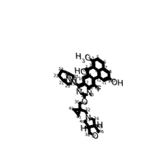 C#Cc1c(C)ccc2cc(O)cc(-c3c(F)cc4c(N5CC6CCC(C5)N6)nc(OCC5(CN6C[C@H]7COC[C@@H]7C6)CC5)nc4c3F)c12